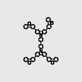 c1ccc2c(c1)oc1ccc(-c3ccc4c(c3)c3cc(-c5ccc6oc7ccccc7c6c5)ccc3n4-c3ccc(-c4ccc(-n5c6ccc(-c7ccc8oc9ccccc9c8c7)cc6c6cc(-c7ccc8oc9ccccc9c8c7)ccc65)cc4)cc3)cc12